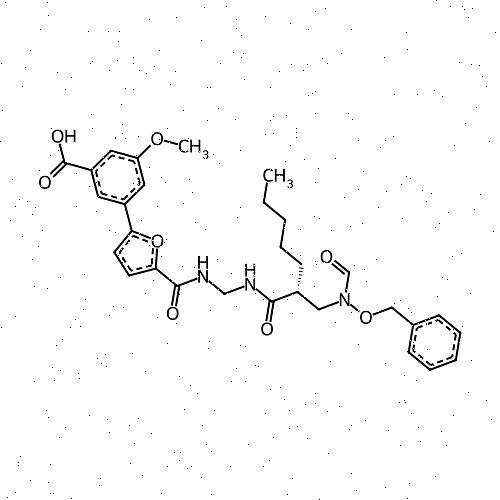 CCCCC[C@H](CN(C=O)OCc1ccccc1)C(=O)NCNC(=O)c1ccc(-c2cc(OC)cc(C(=O)O)c2)o1